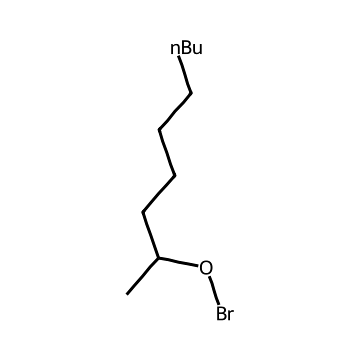 CCCCCCCCC(C)OBr